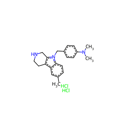 Cc1ccc2c(c1)c1c(n2Cc2ccc(N(C)C)cc2)CNCC1.Cl.Cl